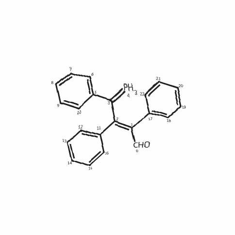 O=CC(=C(C(=[PH3])c1ccccc1)c1ccccc1)c1ccccc1